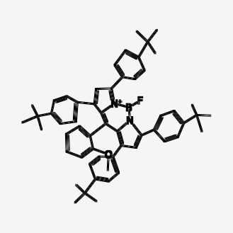 COc1ccccc1C1=C2C(c3ccc(C(C)(C)C)cc3)=CC(c3ccc(C(C)(C)C)cc3)=[N+]2B(F)n2c(-c3ccc(C(C)(C)C)cc3)cc(-c3ccc(C(C)(C)C)cc3)c21